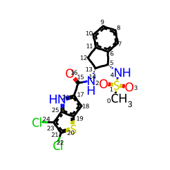 CS(=O)(=O)N[C@H]1c2ccccc2C[C@H]1NC(=O)c1cc2sc(Cl)c(Cl)c2[nH]1